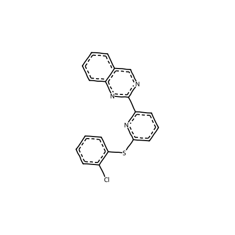 Clc1ccccc1Sc1cccc(-c2ncc3ccccc3n2)n1